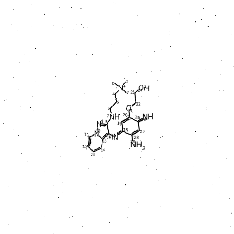 C[N+](C)(C)CCCNc1nn2ccccc2c1/N=C1\C=C(OCCO)C(=N)C=C1N